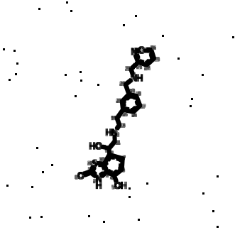 O=c1[nH]c2c(O)ccc(C(O)CNCCc3cccc(CNCc4ccccn4)c3)c2s1